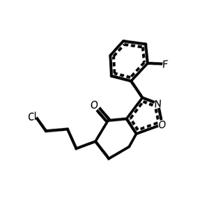 O=C1c2c(-c3ccccc3F)noc2CCC1CCCCl